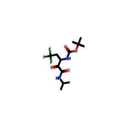 CC(C)NC(=O)C(=O)C(CC(F)(F)F)NC(=O)OC(C)(C)C